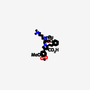 CCCCN(CCCCN(C)C)C(=O)CN1C[C@H](c2cc(OC)c3c(c2)OCO3)[C@@H](C(=O)O)[C@@H]1CCc1ccccc1OC